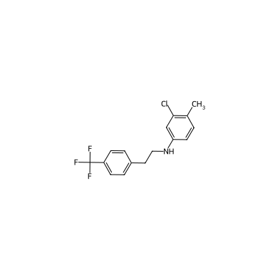 Cc1ccc(NCCc2ccc(C(F)(F)F)cc2)cc1Cl